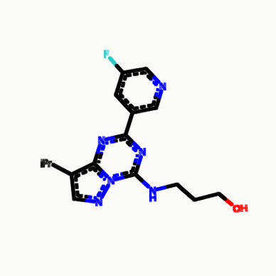 CC(C)c1cnn2c(NCCCO)nc(-c3cncc(F)c3)nc12